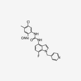 COc1cc(C)c(Cl)cc1NC(=O)Nc1ccc(F)c2c1ccn2Cc1ccncc1